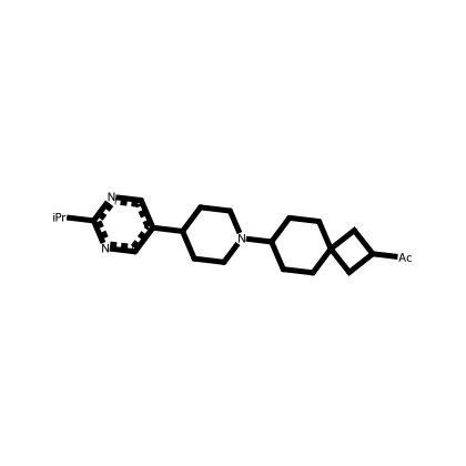 CC(=O)C1CC2(CCC(N3CCC(c4cnc(C(C)C)nc4)CC3)CC2)C1